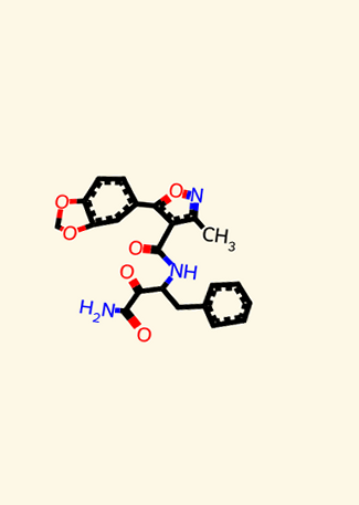 Cc1noc(-c2ccc3c(c2)OCO3)c1C(=O)NC(Cc1ccccc1)C(=O)C(N)=O